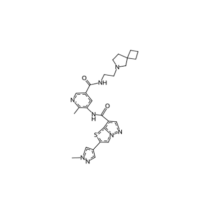 Cc1ncc(C(=O)NCCN2CCC3(CCC3)C2)cc1NC(=O)c1cnn2cc(-c3cnn(C)c3)sc12